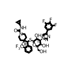 O=C(NC1CC1)N1CCC(O)(C(S[C@@H]2O[C@H](CO)[C@H](O)[C@H](n3cc(-c4cc(F)c(F)c(F)c4)nn3)[C@H]2O)c2ccccc2C(F)(F)F)CC1